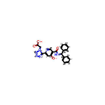 O=C(O)Cn1nnnc1-c1cc(O)c(C(=O)NC(c2ccccc2)c2ccccc2)cn1